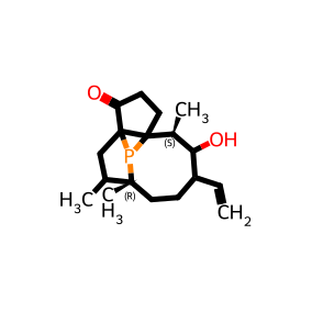 C=CC1CC[C@]2(C)C(C)CC34C(=O)CCC3([C@@H](C)C1O)P42